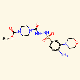 CC(C)(C)OC(=O)N1CCN(C(=O)NNS(=O)(=O)c2ccc(N)c(N3CCOCC3)c2)CC1